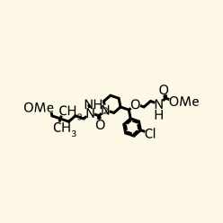 COCC(C)(C)CCCN(N)C(=O)N1CCCC(C(OCCNC(=O)OC)c2cccc(Cl)c2)C1